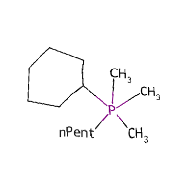 CCCCCP(C)(C)(C)C1CCCCC1